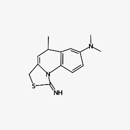 CC1C=C2CSC(=N)N2c2ccc(N(C)C)cc21